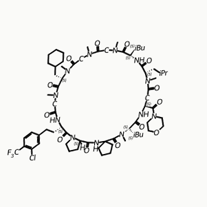 CC[C@H](C)[C@@H]1NC(=O)[C@H](CC(C)C)N(C)C(=O)C[C@@H](C(=O)N2CCOCC2)NC(=O)[C@H]([C@@H](C)CC)N(C)C(=O)C2(CCCC2)NC(=O)[C@@H]2CCCN2C(=O)[C@H](CCc2ccc(C(F)(F)F)c(Cl)c2)NC(=O)CN(C)C(=O)[C@H](CC2CCCCC2)N(C)C(=O)CN(C)C(=O)CN(C)C1=O